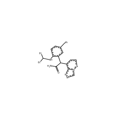 CCC(CC)Nc1ccc(C(C)C)cc1C(C(N)=O)c1ccnn2cnnc12